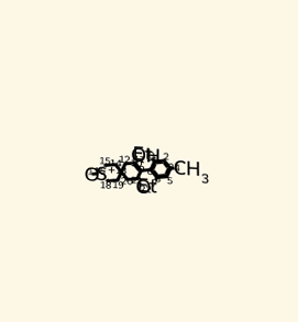 CCc1cc(C)cc(CC)c1C1=C(O)CC2(CC[S+]([O-])CC2)CC1=O